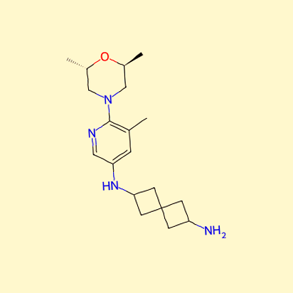 Cc1cc(NC2CC3(CC(N)C3)C2)cnc1N1C[C@H](C)O[C@@H](C)C1